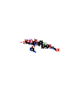 N#Cc1cncc(COc2nc(O[C@H]3CCc4c(-c5cccc(-c6ccc(OCCNCCO)cc6)c5Cl)cccc43)c(Br)cc2CNC[C@@H](O)CC(=O)O)c1